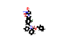 O=C1CCC(N2Cc3c(ccc(C[C@H]4CCCC[C@@H]4NC4(C(=O)OCc5ccccc5)CCCCC4)c3F)C2=O)C(=O)N1